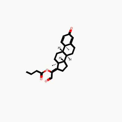 CCCC(=O)O/C(C=O)=C1/CC[C@H]2[C@@H]3CCC4=CC(=O)C=C[C@]4(C)[C@H]3CC[C@]12C